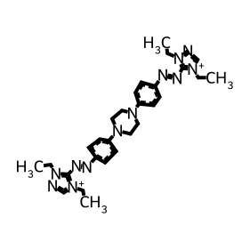 CCn1nc[n+](CC)c1N=Nc1ccc(N2CCN(c3ccc(N=Nc4n(CC)nc[n+]4CC)cc3)CC2)cc1